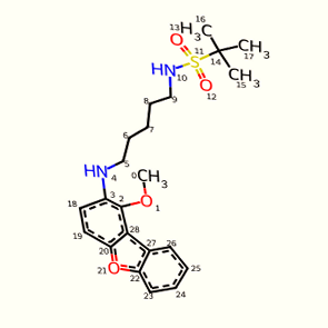 COc1c(NCCCCCNS(=O)(=O)C(C)(C)C)ccc2oc3ccccc3c12